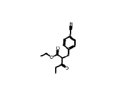 CCOC(=O)C(Cc1ccc(C#N)cc1)C(=O)CC